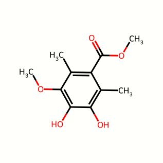 COC(=O)c1c(C)c(O)c(O)c(OC)c1C